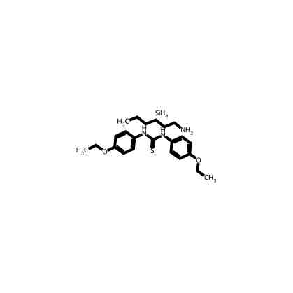 CCCCCCN.CCOc1ccc(NC(=S)Nc2ccc(OCC)cc2)cc1.[SiH4]